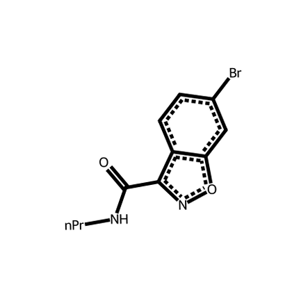 CCCNC(=O)c1noc2cc(Br)ccc12